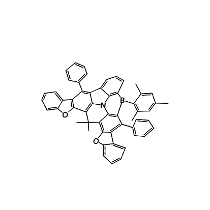 Cc1cc(C)c(B2c3c4c(c5oc6ccccc6c5c3-c3ccccc3)C(C)(C)c3c5oc6ccccc6c5c(-c5ccccc5)c5c6cccc2c6n-4c35)c(C)c1